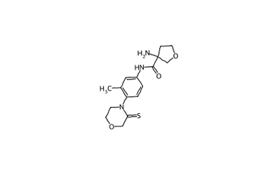 Cc1cc(NC(=O)C2(N)CCOC2)ccc1N1CCOCC1=S